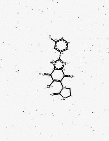 O=C1C(N2CCOC2=O)=C(Cl)C(=O)c2[nH]c(-c3cccc(F)c3)nc21